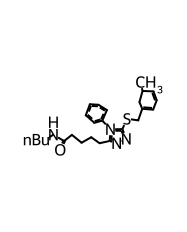 CCCCNC(=O)CCCCc1nnc(SCC2=CC=CC(C)C2)n1-c1ccccc1